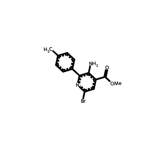 COC(=O)c1cc(Br)nc(-c2ccc(C)cc2)c1N